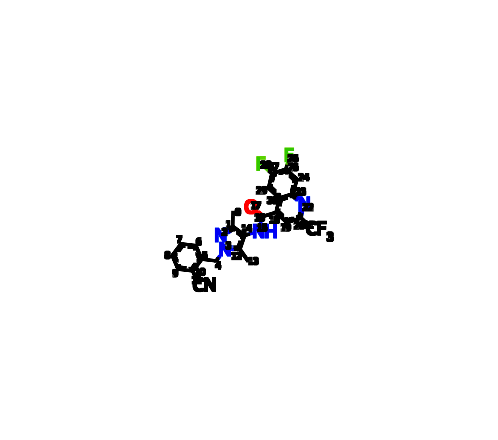 Cc1nn(Cc2ccccc2C#N)c(C)c1NC(=O)c1cc(C(F)(F)F)nc2cc(F)c(F)cc12